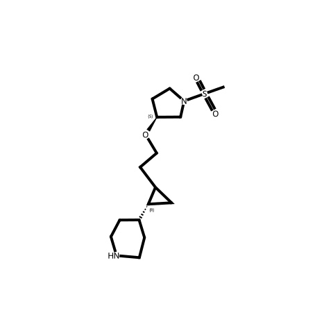 CS(=O)(=O)N1CC[C@H](OCCC2C[C@@H]2C2CCNCC2)C1